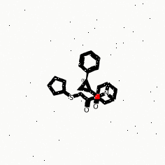 O=C(CSC1CCCC1)N1CC2CC(C1)N2C(=O)C1C[C@H]1c1ccccc1